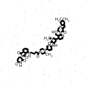 C[C@H]1CN(C(=O)CCCNc2cccc3c2C(=O)N(C2CCC(=O)NC2=O)C3=O)CCN1c1ccc(Nc2cc(-c3ccnc(N4CCn5c(cc6c5CC(C)(C)C6)C4=O)c3CO)cn(C)c2=O)nc1